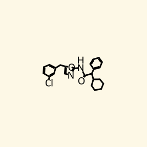 O=C(Nc1ncc(Cc2cccc(Cl)c2)o1)C(c1ccccc1)C1CCCCC1